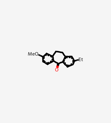 CCc1ccc2c(c1)CCc1cc(OC)ccc1C2=O